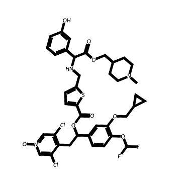 CN1CCC(COC(=O)C(NCc2ccc(C(=O)OC(Cc3c(Cl)c[n+]([O-])cc3Cl)c3ccc(OC(F)F)c(OCC4CC4)c3)s2)c2cccc(O)c2)CC1